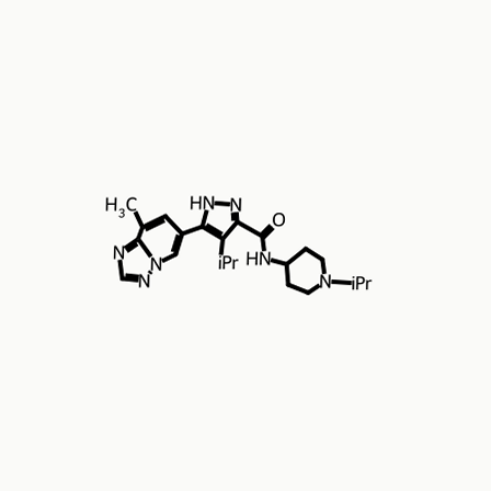 Cc1cc(-c2[nH]nc(C(=O)NC3CCN(C(C)C)CC3)c2C(C)C)cn2ncnc12